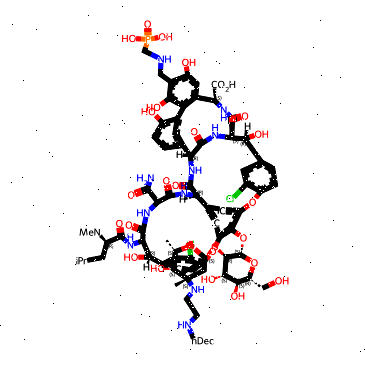 CCCCCCCCCCNCCN[C@@]1(C)C[C@H](O[C@H]2[C@H](Oc3c4cc5cc3Oc3ccc(cc3Cl)[C@@H](O)[C@@H]3NC(=O)[C@H](NC(=O)[C@@H]5NC(=O)C(C(N)=O)NC(=O)C(NC(=O)[C@@H](CC(C)C)NC)[C@H](O)c5ccc(c(Cl)c5)O4)c4ccc(O)c(c4)-c4c(cc(O)c(CNCP(=O)(O)O)c4O)[C@@H](C(=O)O)NC3=O)O[C@H](CO)[C@@H](O)[C@@H]2O)O[C@@H](C)[C@H]1O